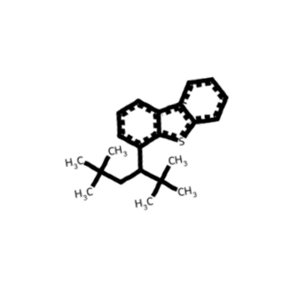 CC(C)(C)CC(c1cccc2c1sc1ccccc12)C(C)(C)C